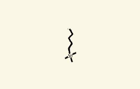 [CH2]CCC[CH2][Sn]([CH3])([CH3])[CH3]